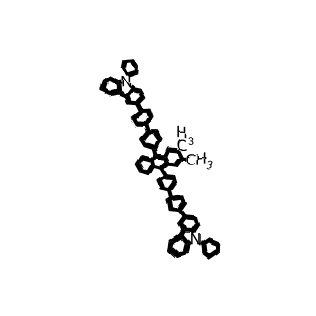 Cc1cc2c(-c3ccc(-c4ccc(-c5ccc6c(c5)c5ccccc5n6-c5ccccc5)cc4)cc3)c3ccccc3c(-c3ccc(-c4ccc(-c5ccc6c(c5)c5ccccc5n6-c5ccccc5)cc4)cc3)c2cc1C